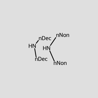 CCCCCCCCCCNCCCCCCCCCC.CCCCCCCCCNCCCCCCCCC